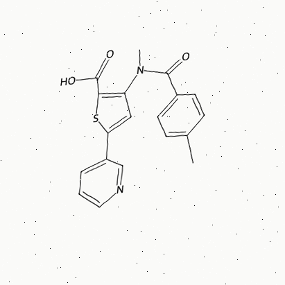 Cc1ccc(C(=O)N(C)c2cc(-c3cccnc3)sc2C(=O)O)cc1